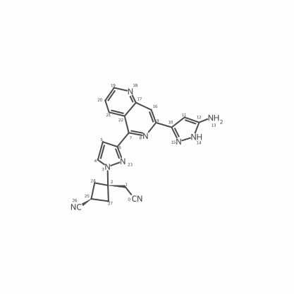 N#CC[C@]1(n2ccc(-c3nc(-c4cc(N)[nH]n4)cc4ncccc34)n2)C[C@H](C#N)C1